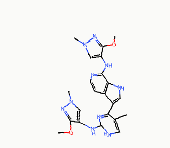 COc1nn(C)cc1Nc1nccc2c(C3=NC(Nc4cn(C)nc4OC)NC=C3C)c[nH]c12